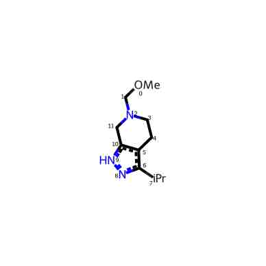 COCN1CCc2c(C(C)C)n[nH]c2C1